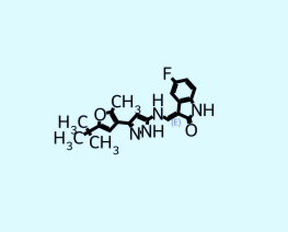 Cc1oc(C(C)(C)C)cc1-c1cc(N/C=C2/C(=O)Nc3ccc(F)cc32)[nH]n1